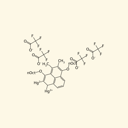 CCCCCCCCOC1=[C]([Hg+2])[CH]([Hg+2])c2cccc3c(OCCCCCCCC)c(C)c(C)c1c23.O=C([O-])C(F)(F)F.O=C([O-])C(F)(F)F.O=C([O-])C(F)(F)F.O=C([O-])C(F)(F)F